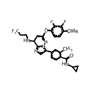 COc1ccc(OC2=Nn3c(-c4ccc(C(=O)NC5CC5)c(C)c4)cnc3C(NCCC(F)(F)F)C2)c(F)c1F